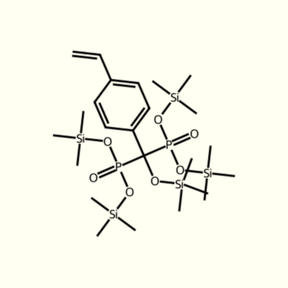 C=Cc1ccc(C(O[Si](C)(C)C)(P(=O)(O[Si](C)(C)C)O[Si](C)(C)C)P(=O)(O[Si](C)(C)C)O[Si](C)(C)C)cc1